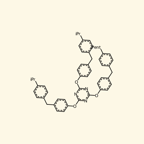 CCCC(C)c1ccc(Cc2ccc(Oc3nc(Oc4ccc(Cc5ccc(C(C)C)cc5)cc4)nc(Oc4ccc(Cc5ccc(C(C)C)cc5)cc4)n3)cc2)cc1